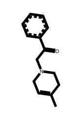 CC1=CCN(CC(=O)c2ccccc2)CC1